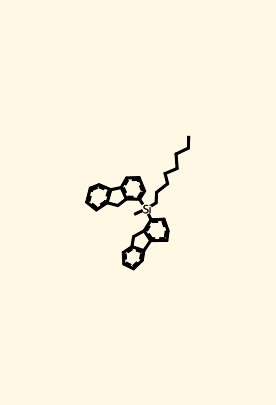 CCCCCCCC[Si](C)(c1cccc2c1Cc1ccccc1-2)c1cccc2c1Cc1ccccc1-2